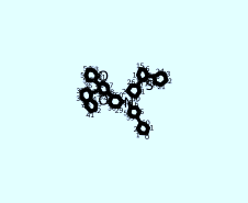 c1ccc(-c2ccc(N(c3ccc(-c4cccc5c4sc4ccccc45)cc3)c3ccc4oc5c(-c6cccc7ccccc67)c6c(cc5c4c3)oc3ccccc36)cc2)cc1